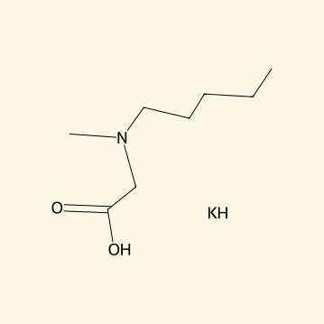 CCCCCN(C)CC(=O)O.[KH]